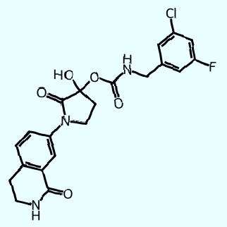 O=C(NCc1cc(F)cc(Cl)c1)OC1(O)CCN(c2ccc3c(c2)C(=O)NCC3)C1=O